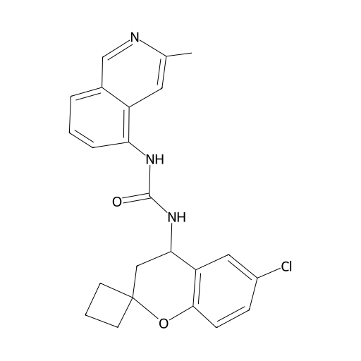 Cc1cc2c(NC(=O)NC3CC4(CCC4)Oc4ccc(Cl)cc43)cccc2cn1